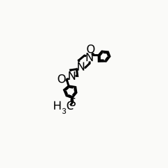 CSc1ccc(C(=O)N2CC(N3CCN(C(=O)c4ccccc4)CC3)C2)cc1